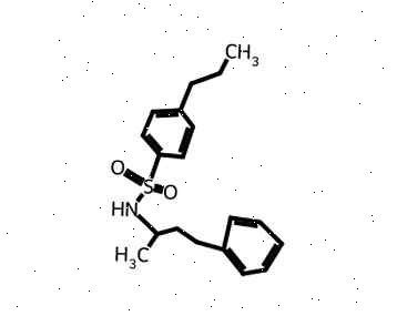 CCCc1ccc(S(=O)(=O)NC(C)CCc2ccccc2)cc1